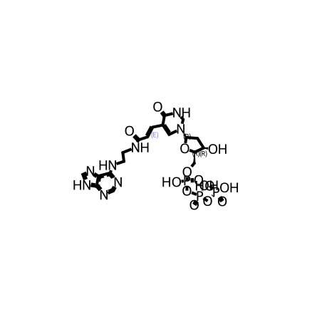 O=C(/C=C/C1=CN([C@H]2C[C@@H](O)[C@@H](COP(=O)(O)OP(=O)(O)OP(=O)(O)O)O2)CNC1=O)NCCNc1ncnc2[nH]cnc12